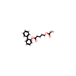 CC(C)C(=O)OCCCCC(=O)Oc1ccccc1-c1ccccc1